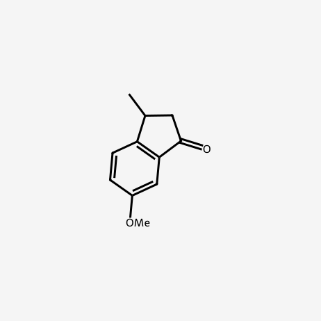 COc1ccc2c(c1)C(=O)CC2C